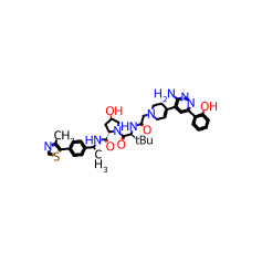 Cc1ncsc1-c1ccc([C@H](C)NC(=O)[C@@H]2C[C@@H](O)CN2C(=O)[C@@H](NC(=O)CN2CC=C(c3cc(-c4ccccc4O)nnc3N)CC2)C(C)(C)C)cc1